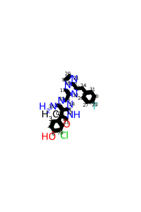 C[C@@]1(c2ccc(O)c(Cl)c2)C(=O)Nc2nc(-c3cn4ccnc4c(Cc4ccc(F)cc4)n3)nc(N)c21